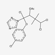 CC(=O)OC(C(C)(C)C(Cl)Cl)C(Cl)(Oc1ccc(Cl)cc1)n1cncn1